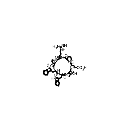 CC(C)CC1NC(=O)C(CCCNC(=N)N)NC(=O)C2CCCN2C(=O)C(CCC(=O)O)NC(=O)C(C(C)O)NC(=O)C(Cc2c[nH]c3ccccc23)NC(=O)C(Cc2c[nH]c3ccccc23)NC1=O